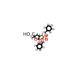 C[C@@]1(C(=O)O)C[C@@H](CP(=O)(OCc2ccccc2)OCc2ccccc2)C(=O)O1